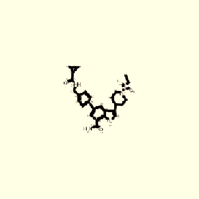 CCS(=O)(=O)N1CCC(c2c[nH]c3c(C(N)=O)cc(-c4ccc(CNC(=O)C5CC5)cc4)cc23)CC1